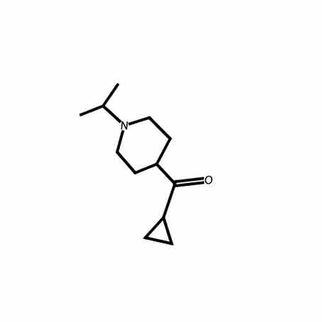 CC(C)N1CCC(C(=O)C2CC2)CC1